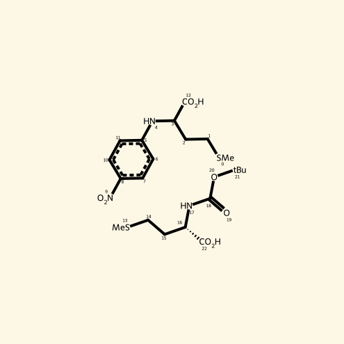 CSCCC(Nc1ccc([N+](=O)[O-])cc1)C(=O)O.CSCC[C@H](NC(=O)OC(C)(C)C)C(=O)O